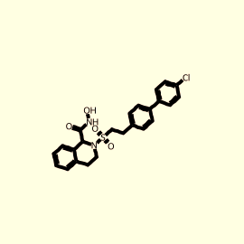 O=C(NO)C1c2ccccc2CCN1S(=O)(=O)CCc1ccc(-c2ccc(Cl)cc2)cc1